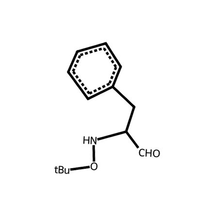 CC(C)(C)ONC(C=O)Cc1ccccc1